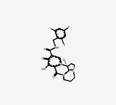 O=C(NCc1c(F)cc(F)cc1F)c1cn2c(c(O)c1=O)C(=O)N1CCCC[C@]13COCC[C@H]23